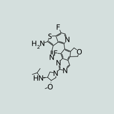 CO[C@H]1CN(c2ncc3c4c(c(-c5ncc(F)c6sc(N)c(C#N)c56)c(F)c3n2)COC4)C[C@@H]1NC(C)C